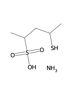 CC(S)CC(C)S(=O)(=O)O.N